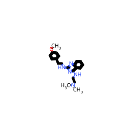 COc1ccc(CCNc2nc(NCCN(C)C)c3ccccc3n2)cc1